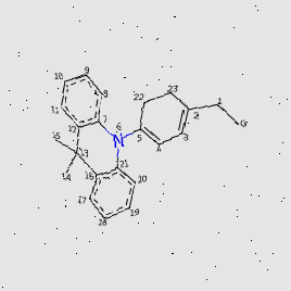 CCC1=CC=C(N2c3ccccc3C(C)(C)c3ccccc32)CC1